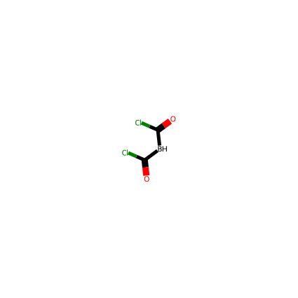 O=C(Cl)BC(=O)Cl